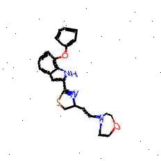 c1ccc(Oc2cccc3cc(C4=NC(CCN5CCOCC5)CS4)[nH]c23)cc1